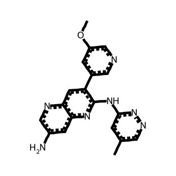 COc1cncc(-c2cc3ncc(N)cc3nc2Nc2cc(C)cnn2)c1